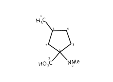 CNC1(C(=O)O)CCC(C)C1